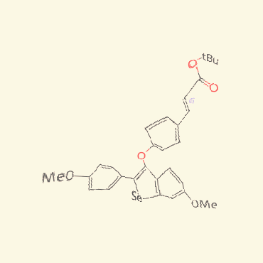 COc1ccc(-c2[se]c3cc(OC)ccc3c2Oc2ccc(/C=C/C(=O)OC(C)(C)C)cc2)cc1